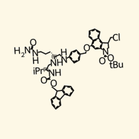 CC(C)[C@H](CN[C@H](CCCNC(N)=O)CNc1ccc(COc2cc3c(c4ccccc24)C(CCl)CN3C(=O)OC(C)(C)C)cc1)NC(=O)OCC1c2ccccc2-c2ccccc21